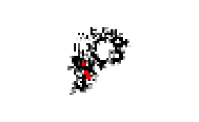 CO[C@H]1CN(C)C(=O)[C@@H]2C[C@@H](CN2c2nc(N3[C@H]4C[C@@H]3C(=O)N(CC3CC3)C4)nc3c2cnn3-c2ncc(F)cc2F)Nc2cccc(n2)-c2cc(F)cc3nc(C)n(c23)C1